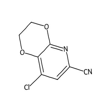 N#Cc1cc(Cl)c2c(n1)OCCO2